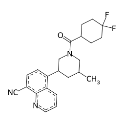 CC1CC(c2ccc(C#N)c3ncccc23)CN(C(=O)C2CCC(F)(F)CC2)C1